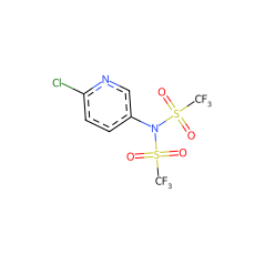 O=S(=O)(N(c1ccc(Cl)nc1)S(=O)(=O)C(F)(F)F)C(F)(F)F